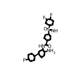 N=S(=O)(c1ccc(C(=O)Nc2cc(-c3ccc(F)cc3)ccc2N)cc1)c1ccc(F)c(F)c1